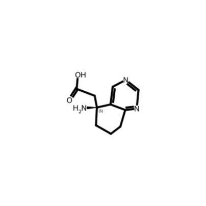 N[C@]1(CC(=O)O)CCCc2ncncc21